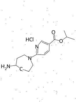 CC(C)OC(=O)c1ccc(N2CCCC(N)CC2)nc1.Cl